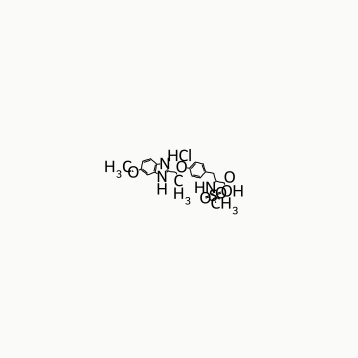 COc1ccc2nc(C(C)Oc3ccc(CC(NS(C)(=O)=O)C(=O)O)cc3)[nH]c2c1.Cl